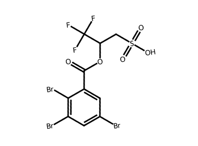 O=C(OC(CS(=O)(=O)O)C(F)(F)F)c1cc(Br)cc(Br)c1Br